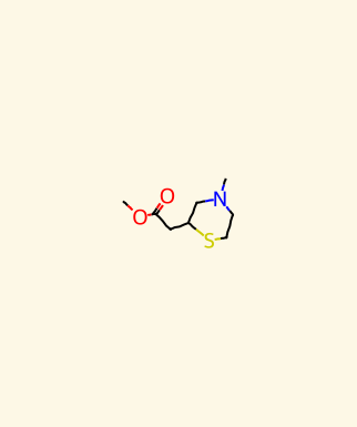 COC(=O)CC1CN(C)CCS1